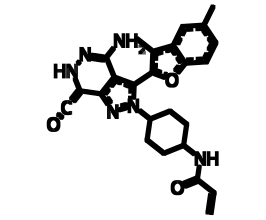 C=CC(=O)NC1CCC(n2nc3c(c2-c2oc4ccc(C)cc4c2C)C(N)=NNC3=C=O)CC1